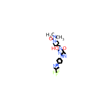 CN(C)C(=O)N1CCC(O)(Cn2cnc3c(cnn3-c3ccc(-n4cc(C(F)(F)F)cn4)cc3)c2=O)CC1